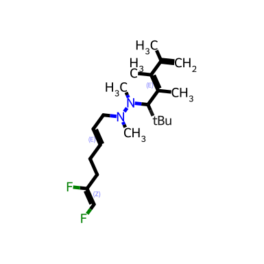 C=C(C)/C(C)=C(\C)C(N(C)N(C)C/C=C/CC/C(F)=C/F)C(C)(C)C